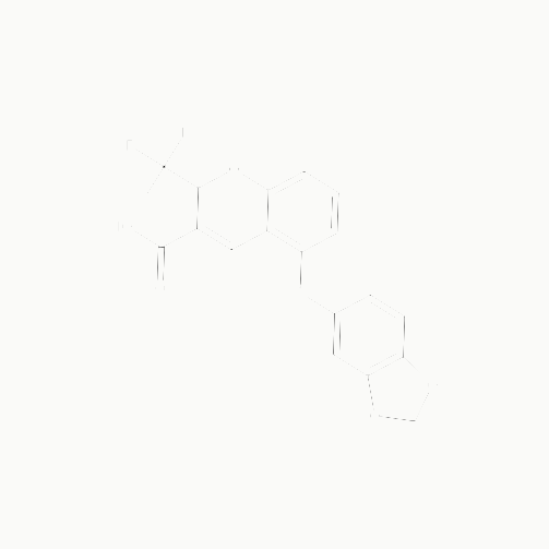 O=C(O)C1=Cc2c(Oc3ccc4c(c3)OCO4)cccc2OC1C(F)(F)F